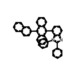 c1ccc(-c2nc3cccc(-c4c5ccccc5c(-c5ccc6ccccc6c5)c5ccccc45)c3n2-c2ccccc2)cc1